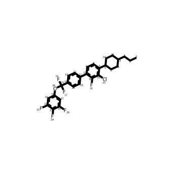 CCCC1CCC(c2ccc(-c3ccc(C(F)(F)Oc4cc(F)c(F)c(F)c4)cc3)c(F)c2Cl)CC1